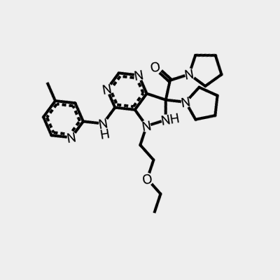 CCOCCN1NC(C(=O)N2CCCC2)(N2CCCC2)c2ncnc(Nc3cc(C)ccn3)c21